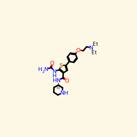 CCN(CC)CCOc1ccc(-c2cc(C(=O)N[C@H]3CCCNC3)c(NC(N)=O)s2)cc1